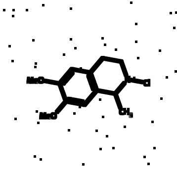 COc1cc2c(cc1OC)C(C)N(Cl)CC2